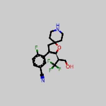 N#Cc1ccc(F)c(C2CC3(CCNCC3)O[C@H]2C(CO)C(F)(F)F)c1